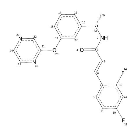 C[C@H](NC(=O)C=Cc1ccc(F)cc1F)c1cccc(Oc2cnccn2)c1